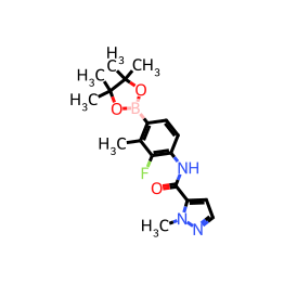 Cc1c(B2OC(C)(C)C(C)(C)O2)ccc(NC(=O)c2ccnn2C)c1F